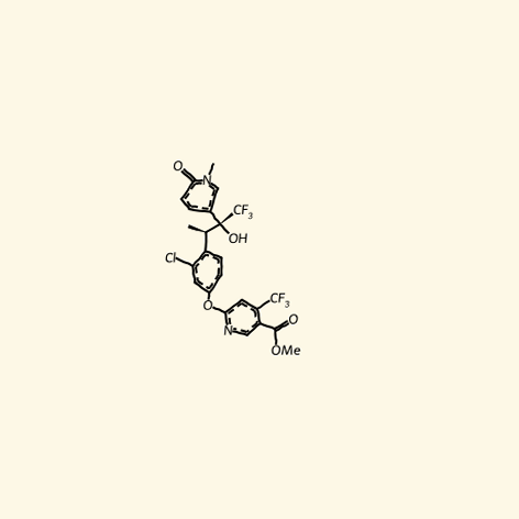 COC(=O)c1cnc(Oc2ccc([C@@H](C)[C@@](O)(c3ccc(=O)n(C)c3)C(F)(F)F)c(Cl)c2)cc1C(F)(F)F